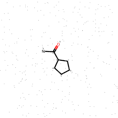 O=[C]([Ni])C1CCCC1